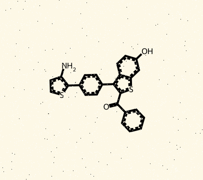 Nc1ccsc1-c1ccc(-c2c(C(=O)c3ccccc3)sc3cc(O)ccc23)cc1